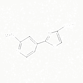 CNc1cc(-c2nc(C(=O)O)co2)ccn1